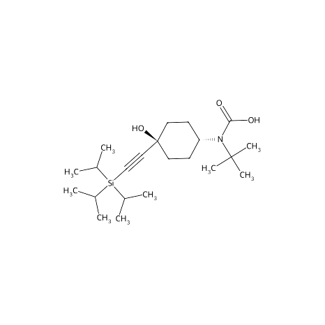 CC(C)[Si](C#C[C@]1(O)CC[C@H](N(C(=O)O)C(C)(C)C)CC1)(C(C)C)C(C)C